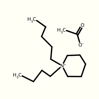 CC(=O)[O-].CCCCC[N+]1(CCCC)CCCCC1